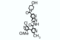 COc1cnc(Cl)cc1-c1cc(C)ncc1C(=O)Nc1nc2ncc(C(=O)N3CCC(O)CC3)cc2s1